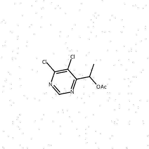 CC(=O)OC(C)c1ncnc(Cl)c1Cl